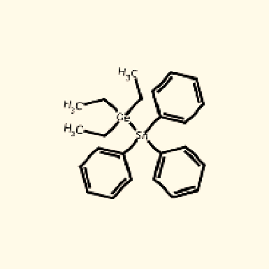 C[CH2][Ge]([CH2]C)([CH2]C)[Sn]([c]1ccccc1)([c]1ccccc1)[c]1ccccc1